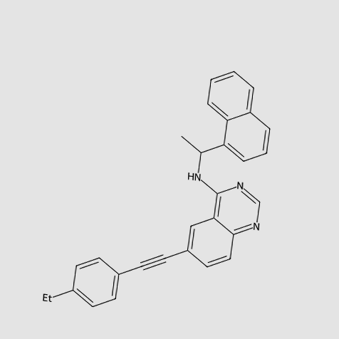 CCc1ccc(C#Cc2ccc3ncnc(NC(C)c4cccc5ccccc45)c3c2)cc1